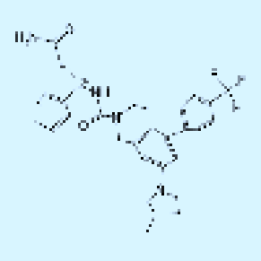 CC1CCN(c2cc3c(c(-c4ccc(C(F)(F)F)cc4)c2)CCN(C(=O)N[C@@H](CCC(N)=O)c2ccccc2)C3)C1